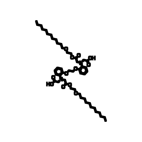 CCCCCCCCCCCCOCCOC(=O)CN(CC(=O)O)c1ccccc1OCCOc1ccccc1N(CC(=O)O)CC(=O)OCCOCCCCCCCCCCCC